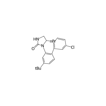 [CH2]CCC1CNC(=O)N1c1cc(C(C)(C)C)ccc1-c1cccc(Cl)c1